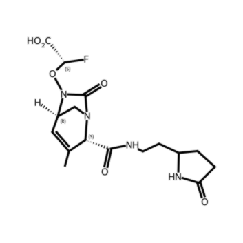 CC1=C[C@@H]2CN(C(=O)N2O[C@@H](F)C(=O)O)[C@@H]1C(=O)NCCC1CCC(=O)N1